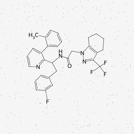 Cc1ccccc1-c1cccnc1C(Cc1cccc(F)c1)NC(=O)Cn1nc(C(F)(F)F)c2c1CCCC2